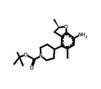 Cc1cc(N)c2c(c1C1CCN(C(=O)OC(C)(C)C)CC1)C[C@@H](C)O2